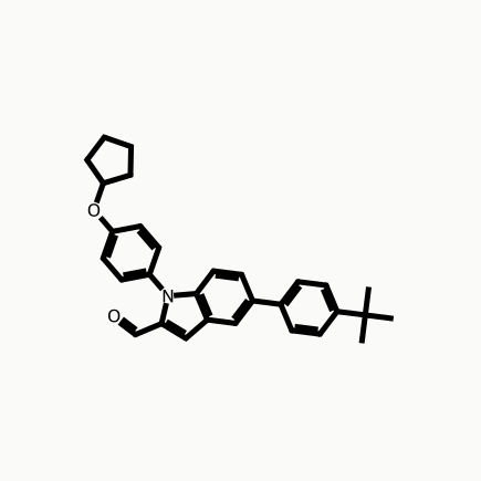 CC(C)(C)c1ccc(-c2ccc3c(c2)cc(C=O)n3-c2ccc(OC3CCCC3)cc2)cc1